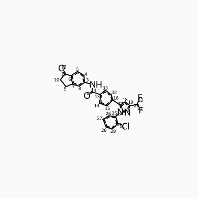 O=C(Nc1ccc2c(c1)CCC2=O)c1ccc(-c2cc(C(F)F)nn2-c2ccccc2Cl)cc1